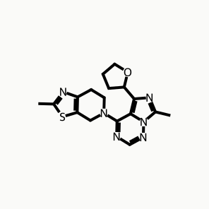 Cc1nc2c(s1)CN(c1ncnn3c(C)nc(C4CCCO4)c13)CC2